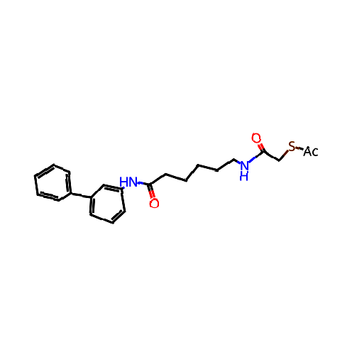 CC(=O)SCC(=O)NCCCCCC(=O)Nc1cccc(-c2ccccc2)c1